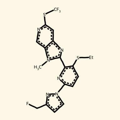 CCSc1ccc(-n2ccc(CF)n2)nc1-c1nc2cc(SC(F)(F)F)ncc2n1C